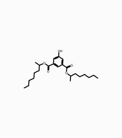 CCCCCCC(C)OC(=O)c1cc(O)cc(C(=O)OC(C)CCCCCC)c1